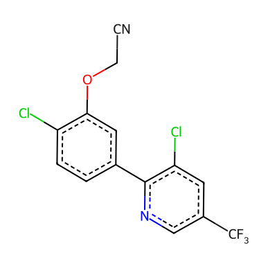 N#CCOc1cc(-c2ncc(C(F)(F)F)cc2Cl)ccc1Cl